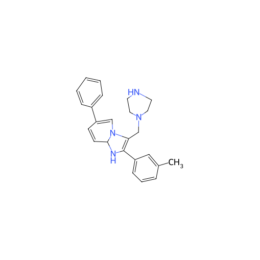 Cc1cccc(C2=C(CN3CCNCC3)N3C=C(c4ccccc4)C=CC3N2)c1